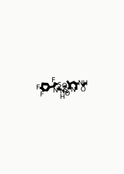 CC(=O)Nc1cnc(S(=O)(=O)Nc2nc(-c3ccc(F)c(F)c3)c(F)s2)c(C)c1